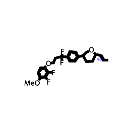 C/C=C/C1CCC(c2ccc(C(F)(F)CCOc3ccc(OC)c(F)c3F)cc2)CO1